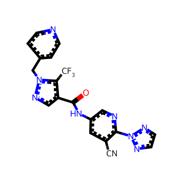 N#Cc1cc(NC(=O)c2cnn(Cc3ccncc3)c2C(F)(F)F)cnc1-n1nccn1